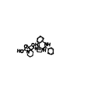 CC(C)(C)[C@@]1(C(=O)N2CC[C@H]3[C@@H](c4ccccc4)Nc4ccccc4[C@H]32)CCCCN1C(=O)O